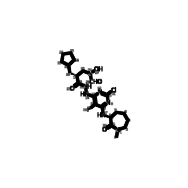 CN1CCCC[C@H](Nc2nc(Cl)nc(NNC(=O)[C@H](CC3CCCC3)CN(O)C=O)c2F)C1=O